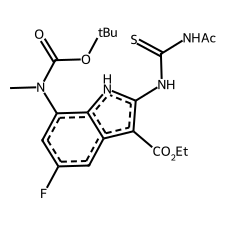 CCOC(=O)c1c(NC(=S)NC(C)=O)[nH]c2c(N(C)C(=O)OC(C)(C)C)cc(F)cc12